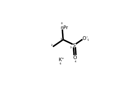 CCCC(C)S(=O)[O-].[K+]